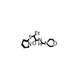 CCC(Sc1ccccn1)C(=O)NCN1CCOCC1